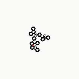 c1cc(-c2cccc3c2oc2ccccc23)cc(N(c2ccc(-c3ccccc3-c3ccccc3-n3c4ccccc4c4ccccc43)cc2)c2cc3ccccc3c3ccccc23)c1